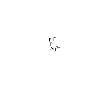 [Ag+3].[F-].[F-].[F-]